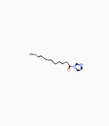 CCCCCCCCCCCCCCCCCC(=O)n1ccnc1